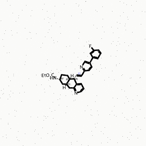 CCOC(=O)N[C@@H]1CC[C@@H]2[C@H](Cc3ncccc3[C@H]2/C=C/c2ccc(-c3cccc(F)c3)cn2)C1